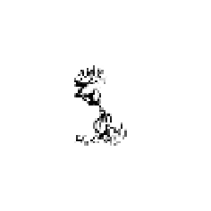 COC[C@H](O)Cn1cc(B2OC(C)(C)C(C)(C)O2)cn1